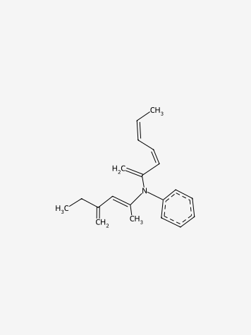 C=C(/C=C(\C)N(C(=C)/C=C\C=C/C)c1ccccc1)CC